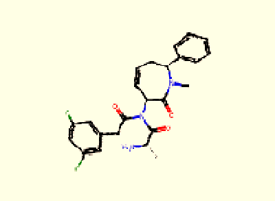 C[C@H](N)C(=O)N(C(=O)Cc1cc(F)cc(F)c1)[C@H]1C=CC[C@@H](c2ccccc2)N(C)C1=O